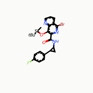 CC(C)(C)[Si](C)(C)Oc1c(C(=O)NC2CC2c2ccc(F)cc2)nc(Br)c2cccnc12